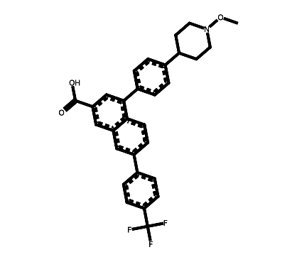 CON1CCC(c2ccc(-c3cc(C(=O)O)cc4cc(-c5ccc(C(F)(F)F)cc5)ccc34)cc2)CC1